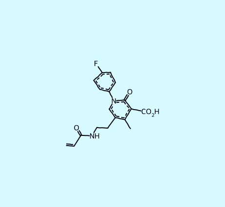 C=CC(=O)NCCc1cn(-c2ccc(F)cc2)c(=O)c(C(=O)O)c1C